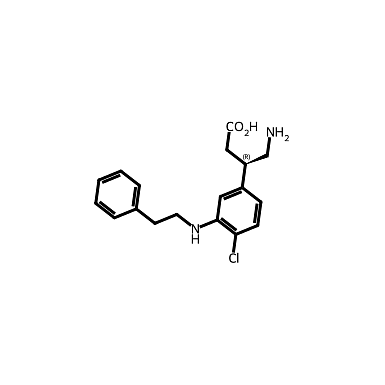 NC[C@H](CC(=O)O)c1ccc(Cl)c(NCCc2ccccc2)c1